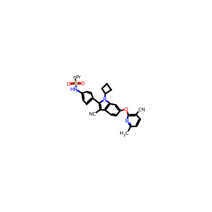 CCCS(=O)(=O)Nc1ccc(-c2c(C#N)c3ccc(Oc4nc(C)ccc4C#N)cc3n2C2CCC2)cc1